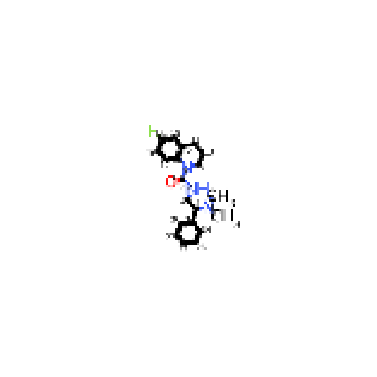 CN(C)C(CNC(=O)N1CCCc2cc(F)ccc21)c1ccccc1